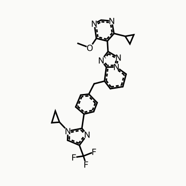 COc1ncnc(C2CC2)c1-c1nc2c(Cc3ccc(-c4nc(C(F)(F)F)cn4C4CC4)cc3)cccn2n1